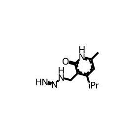 Cc1cc(C(C)C)c(CNN=N)c(=O)[nH]1